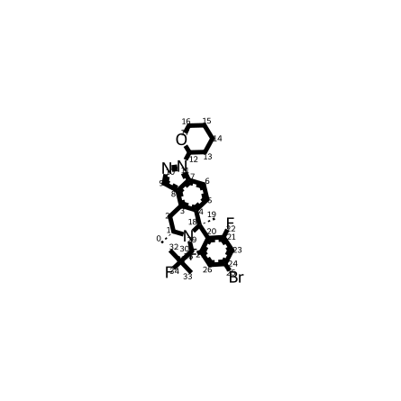 C[C@@H]1Cc2c(ccc3c2cnn3C2CCCCO2)[C@@](C)(c2c(F)cc(Br)cc2F)N1CC(C)(C)F